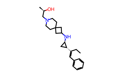 CC/C(=C\c1ccccc1)[C@@H]1C[C@H]1NC1CC2(CCN(C[C@@H](C)O)CC2)C1